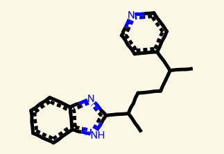 CC(CCC(C)c1nc2ccccc2[nH]1)c1ccncc1